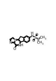 CN(C)S(=O)(=O)Nc1ccc2c(c1)Cc1c-2[nH]c(=O)c2nccn12